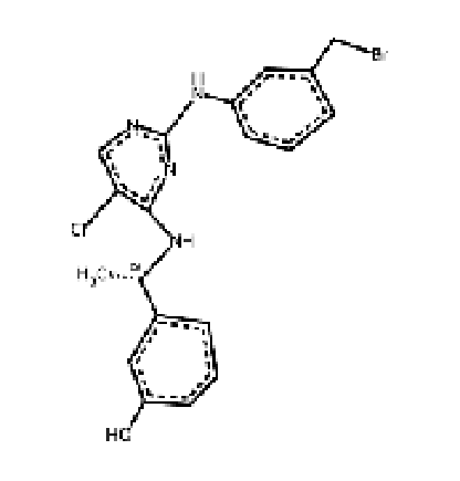 C[C@H](Nc1nc(Nc2cccc(CBr)c2)ncc1Cl)c1cccc(O)c1